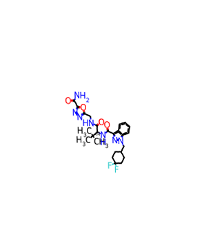 CC(C)(C)[C@H](NC(=O)c1nn(CC2CCC(F)(F)CC2)c2ccccc12)C(=O)NCc1nnc(C(N)=O)o1